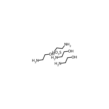 NCCO.NCCO.NCCO.NCCS(=O)(=O)O